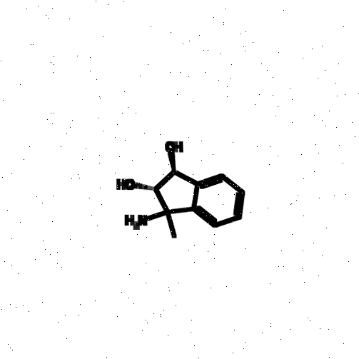 CC1(N)c2ccccc2[C@H](O)[C@H]1O